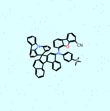 C[Si](C)(C)c1ccc(N(c2cc3c(c4ccccc24)-c2c(ccc4ccccc24)C32c3ccccc3-n3c4ccccc4c4cccc2c43)c2cccc3c2oc2c(C#N)cccc23)cc1